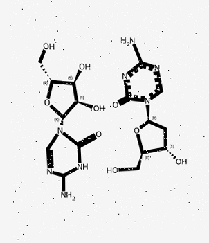 NC1N=CN([C@@H]2O[C@H](CO)[C@@H](O)[C@H]2O)C(=O)N1.Nc1ncn([C@H]2C[C@H](O)[C@@H](CO)O2)c(=O)n1